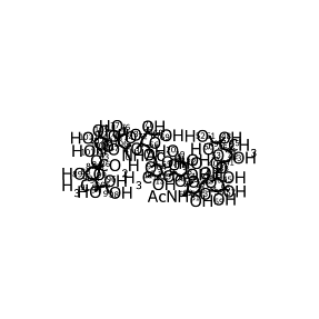 CC(=O)NC1C(OC2C(OCC3OC(C)C(O)C(OC4OC(CO)C(O)C(O)[C@@H]4OC4OC(CO)C(OC5OC(COC6(C(=O)O)CC(O)C(C)C(C(O)[C@H](O)CO)O6)C(O)C(O)C5O)C(O)C4NC(C)=O)C3O)OC(CO)C(O)C2O)OC(CO)C(OC2OC(COC3(C(=O)O)CC(O)C(C)C(C(O)[C@H](O)CO)O3)C(O)C(O)C2O)C1O